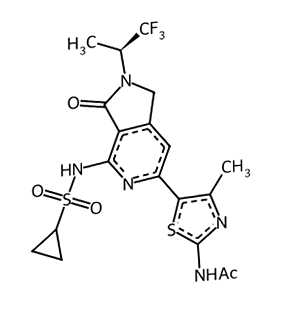 CC(=O)Nc1nc(C)c(-c2cc3c(c(NS(=O)(=O)C4CC4)n2)C(=O)N([C@@H](C)C(F)(F)F)C3)s1